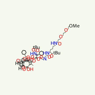 COCCOCCCOCCC(=O)NCCCCC(NC(=O)CN(C)CC(=O)O[C@@H](C(=O)O[C@H]1C[C@@]2(O)[C@@H](OC(=O)c3ccccc3)[C@@H]3[C@]4(OC(C)=O)CO[C@@H]4C[C@@H]4O[C@@]43C(=O)[C@H](O)C(=C1C)C2(C)C)[C@@H](NC(=O)OC(C)(C)C)c1ccccc1)C(=O)C(C)(C)C